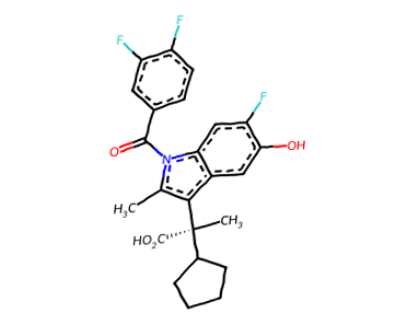 Cc1c([C@](C)(C(=O)O)C2CCCC2)c2cc(O)c(F)cc2n1C(=O)c1ccc(F)c(F)c1